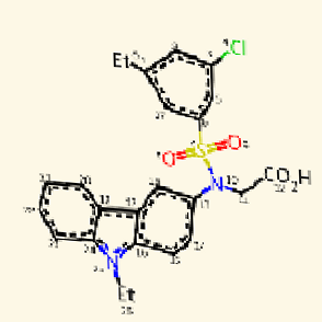 CCc1cc(Cl)cc(S(=O)(=O)N(CC(=O)O)c2ccc3c(c2)c2ccccc2n3CC)c1